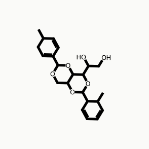 CC1C=CC(C2OCC3OC(C4C=CC=CC4C)OC(C(O)CO)C3O2)=CC1